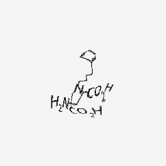 N[C@]1(C(=O)O)C[C@H](C(=O)O)N(CCCCc2ccccc2)C1